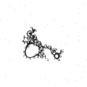 N[C@H]1CCCCC/C=C\[C@@H]2C[C@@]2(C(=O)NS(=O)(=O)C2CC2)NC(=O)[C@@H]2C[C@@H](OCON3Cc4cccc(F)c4C3)CN2C1=O